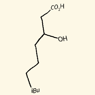 CCC(C)CCCC(O)CC(=O)O